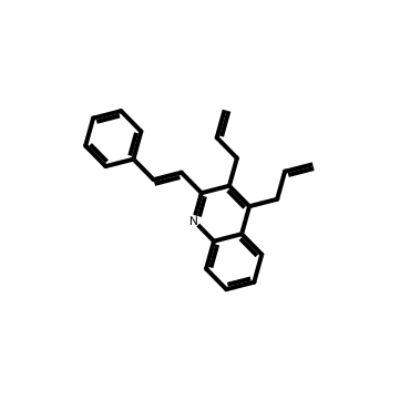 C=CCc1c(C=Cc2ccccc2)nc2ccccc2c1CC=C